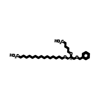 O=C(O)CCCCCCCCCCCCCCCOC[C@H](COCc1ccccc1)OCCCCC(=O)O